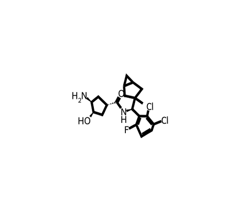 CC1([C@H](NC(=O)[C@@H]2C[C@@H](O)[C@@H](N)C2)c2c(F)ccc(Cl)c2Cl)CC2CC2C1